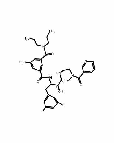 CCCN(CCC)C(=O)c1cc(C)cc(C(=O)NC(Cc2cc(F)cc(F)c2)[C@H](O)[C@H]2CN(C(=O)c3cccnc3)CCN2)c1